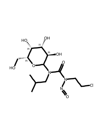 CC(C)CN(C(=O)N(CCCl)N=O)C1O[C@H](CO)[C@H](O)[C@H](O)[C@H]1O